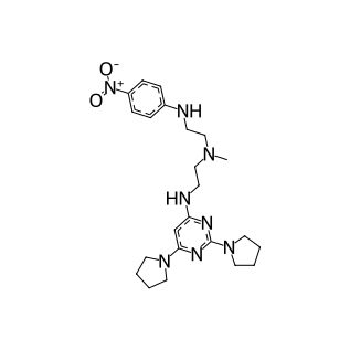 CN(CCNc1ccc([N+](=O)[O-])cc1)CCNc1cc(N2CCCC2)nc(N2CCCC2)n1